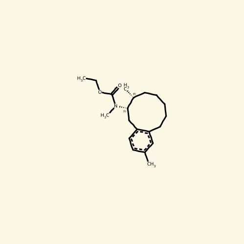 CCOC(=O)N(C)[C@H]1Cc2ccc(C)cc2CCCCC[C@H]1C